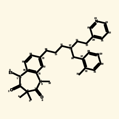 CCN1C(=O)C(C)(C)C(=O)N(C)c2cc(CCCN(CCc3cccnc3)Cc3cnccc3C)ccc21